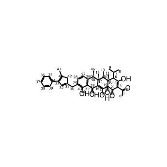 CC(=O)C1=C(O)C(C(C)C)[C@@]2(C)[C@H](C)[C@]3(C)C(=C(O)[C@@]2(O)C1=O)C(=O)c1c(ccc(CC2=CC(c4ccccc4)=C(C)C2)c1O)[C@H]3C